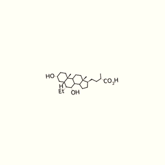 CC[C@H]1[C@@H](O)C2C3CC[C@H](CC[C@H](C)C(=O)O)[C@@]3(C)CCC2[C@@]2(C)CC[C@@H](O)C[C@@H]12